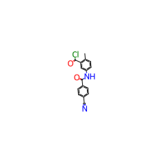 Cc1ccc(NC(=O)c2ccc(C#N)cc2)cc1C(=O)Cl